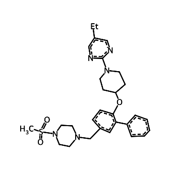 CCc1cnc(N2CCC(Oc3ccc(CN4CCN(S(C)(=O)=O)CC4)cc3-c3ccccc3)CC2)nc1